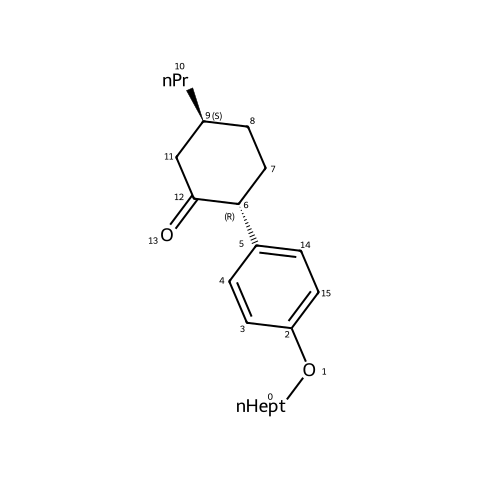 CCCCCCCOc1ccc([C@H]2CC[C@H](CCC)CC2=O)cc1